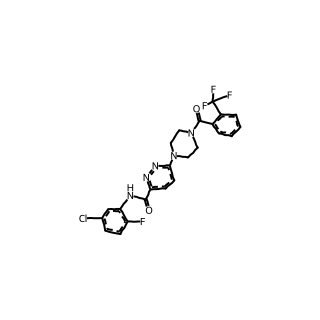 O=C(Nc1cc(Cl)ccc1F)c1ccc(N2CCN(C(=O)c3ccccc3C(F)(F)F)CC2)nn1